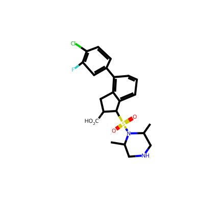 CC1CNCC(C)N1S(=O)(=O)C1c2cccc(-c3ccc(Cl)c(F)c3)c2CC1C(=O)O